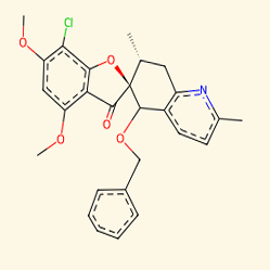 COc1cc(OC)c2c(c1Cl)O[C@]1(C2=O)C(OCc2ccccc2)c2ccc(C)nc2C[C@H]1C